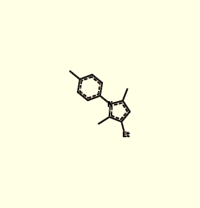 CCc1cc(C)n(-c2ccc(C)cc2)c1C